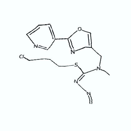 C=N/N=C(/SCCCCl)N(C)Cc1coc(-c2cccnc2)n1